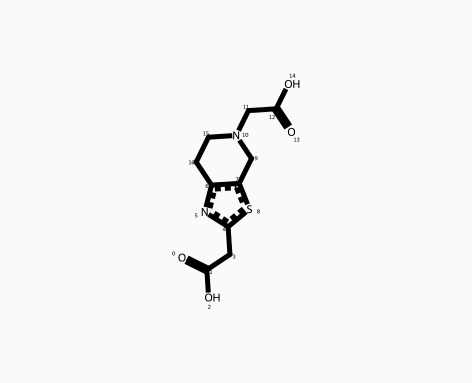 O=C(O)Cc1nc2c(s1)CN(CC(=O)O)CC2